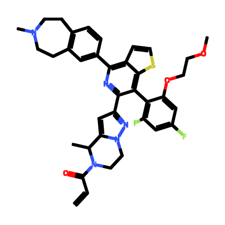 C=CC(=O)N1CCn2nc(-c3nc(-c4ccc5c(c4)CCN(C)CC5)c4ccsc4c3-c3c(F)cc(F)cc3OCCOC)cc2C1C